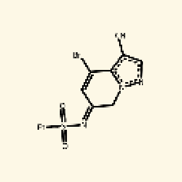 CCS(=O)(=O)N=C1C=C(Br)c2c(C#N)cnn2C1